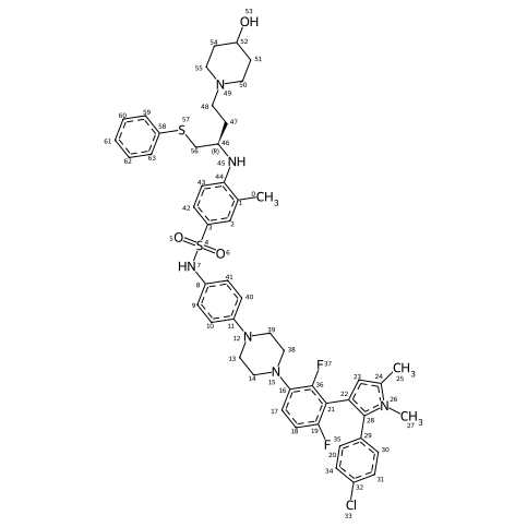 Cc1cc(S(=O)(=O)Nc2ccc(N3CCN(c4ccc(F)c(-c5cc(C)n(C)c5-c5ccc(Cl)cc5)c4F)CC3)cc2)ccc1N[C@H](CCN1CCC(O)CC1)CSc1ccccc1